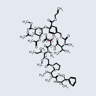 C=CCOC(=O)c1cc(COC(=O)N(C)C(C(=O)N[C@H](C(=O)N(C)[C@@H](C(C)CC)[C@@H](CC(=O)N2CCC[C@H]2[C@H](OC)[C@@H](C)C(=O)N[C@H](C)[C@@H](O)c2ccccc2)OC)C(C)C)C(C)C)ccc1O[C@@H]1O[C@H](C(=O)OC)[C@@H](OC(C)=O)[C@H](OC(C)=O)[C@H]1OC(C)=O